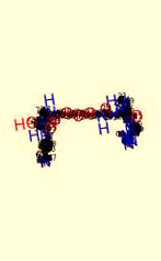 CCn1cnnc1-c1cccc(N2Cc3c(cc(N(C)C(C)C)nc3CNCC(=O)NCCOCCOCCOCCC(=O)N[C@H](C(=O)N3C[C@H](O)C[C@H]3C(=O)NCc3ccc(-c4scnc4C)cc3)C(C)(C)C)C2=O)n1